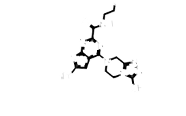 CCCc1cc2c(N3CCn4c(nnc4C(F)(F)F)C3)nc(C(=O)NCCC(=O)O)nc2s1